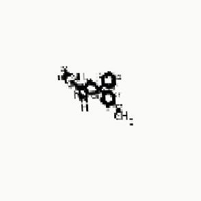 COc1ccc(C2(c3ccccc3)C=Cc3c(-c4ncc[nH]4)n[nH]c3C2)cc1